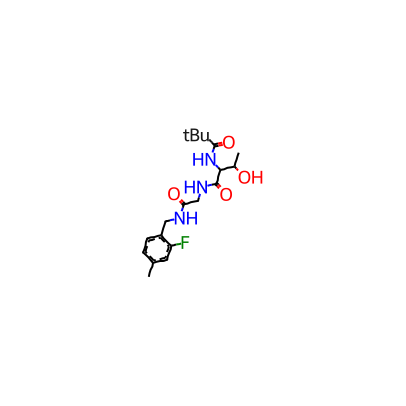 Cc1ccc(CNC(=O)CNC(=O)C(NC(=O)C(C)(C)C)C(C)O)c(F)c1